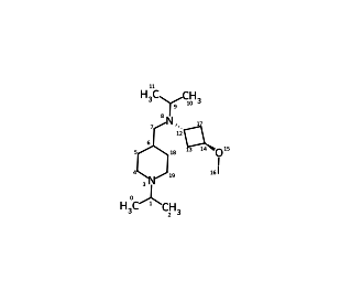 CC(C)N1CCC(CN(C(C)C)[C@H]2C[C@H](OI)C2)CC1